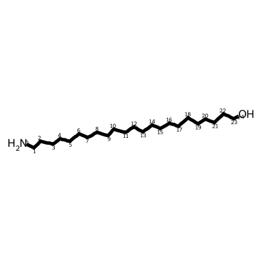 NCCCCCCCCCCCCCCCCCCCCCCCO